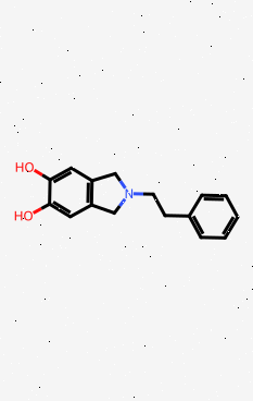 Oc1cc2c(cc1O)CN(CCc1ccccc1)C2